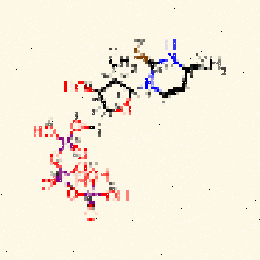 C=C1C=CN([C@@H]2O[C@H](COP(=O)(O)OP(=O)(O)OP(=O)(O)O)C(O)[C@@H]2C)C(=S)N1